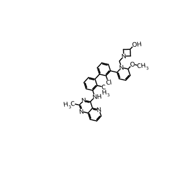 COC1C=CC=C(c2cccc(-c3cccc(Nc4nc(C)nc5cccnc45)c3C)c2Cl)N1CN1CC(O)C1